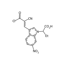 CCC(C(=O)O)n1cc(/C=C(\C#N)C(=O)Cl)c2ccc([N+](=O)[O-])cc21